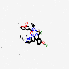 Cn1ccc2cc(-c3ccc(OCF)cc3-c3nc(N(C(=O)[C@@H](CC(=O)O)CC4CCCC4)C4CC4)sc3F)cnc21